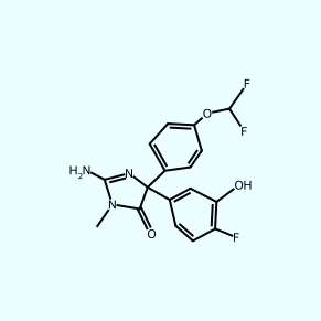 CN1C(=O)C(c2ccc(OC(F)F)cc2)(c2ccc(F)c(O)c2)N=C1N